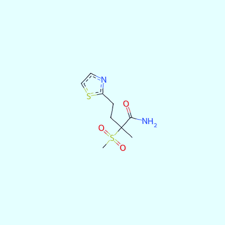 CC(CCc1nccs1)(C(N)=O)S(C)(=O)=O